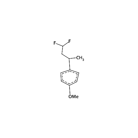 COc1ccc(C(C)CC(F)F)cc1